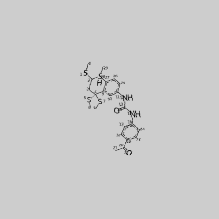 CSC1CC(SC)(SC)c2cc(NC(=O)Nc3ccc(C(C)=O)cc3)ccc2[SH]1C